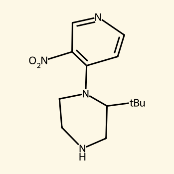 CC(C)(C)C1CNCCN1c1ccncc1[N+](=O)[O-]